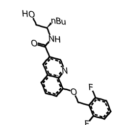 CCCC[C@H](CO)NC(=O)c1cnc2c(OCc3c(F)cccc3F)cccc2c1